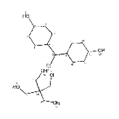 CCC(C1CCC(O)CC1)C1CCC(O)CC1.OCC(CO)(CO)CO